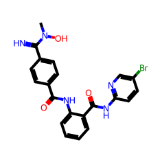 CN(O)C(=N)c1ccc(C(=O)Nc2ccccc2C(=O)Nc2ccc(Br)cn2)cc1